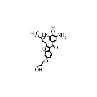 CCCCCc1oc2cc(OCCCO)ccc2c1C(=O)c1cc(N)c(O)c(N)c1